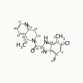 Cc1c(Cl)cc(F)c2nc(C(=O)N3CCc4ncccc4[C@H]3C)[nH]c12